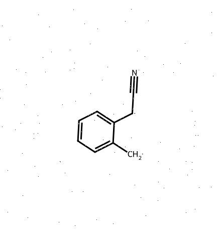 [CH2]c1ccccc1[CH]C#N